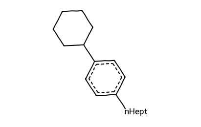 CCCCCCCc1ccc(C2CCCCC2)cc1